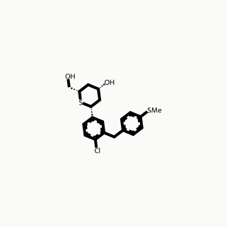 CSc1ccc(Cc2cc([C@H]3C[C@@H](O)C[C@@H](CO)S3)ccc2Cl)cc1